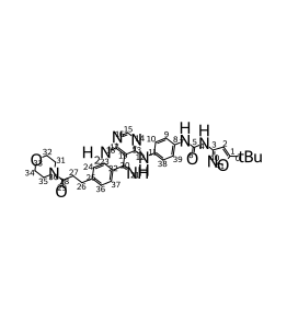 CC(C)(C)c1cc(NC(=O)Nc2ccc(Nc3ncnc(N)c3C(=N)c3ccc(CCC(=O)N4CCOCC4)cc3)cc2)no1